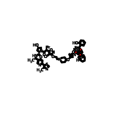 Cc1ncsc1-c1ccc([C@H](C)NC(=O)[C@@H]2C[C@@H](O)CN2C(=O)[C@H](c2onc(OCCN3CCC(OC4CC(Oc5cc(N6C7CC[C@@H]6CN(c6cc(-c8ccccc8O)nnc6N)C7)ccn5)C4)CC3)c2Cl)C(C)C)cn1